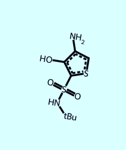 CC(C)(C)NS(=O)(=O)c1scc(N)c1O